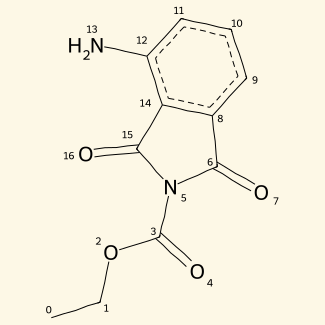 CCOC(=O)N1C(=O)c2cccc(N)c2C1=O